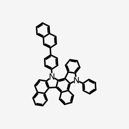 c1ccc(-n2c3ccccc3c3c2c2ccccc2c2c4c5ccccc5ccc4n(-c4ccc(-c5ccc6ccccc6c5)cc4)c23)cc1